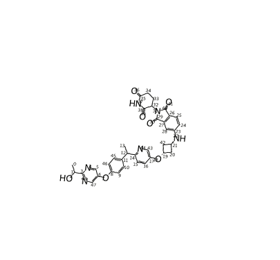 CC(O)c1ncc(Oc2ccc(C(C)c3ccc(O[C@H]4C[C@H](Nc5ccc6c(c5)C(=O)N(C5CCC(=O)NC5=O)C6=O)C4)cn3)cc2)cn1